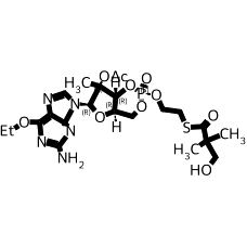 CCOc1nc(N)nc2c1ncn2[C@@H]1O[C@@H]2CO[P@@](=O)(OCCSC(=O)C(C)(C)CO)O[C@H]2[C@@]1(C)OC(C)=O